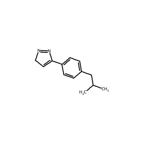 CC(C)Cc1ccc(C2=CCN=N2)cc1